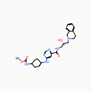 CC(C)(C)OC(=O)NC1CCC(Nc2cc(C(=O)NC[C@H](O)CN3CCc4ccccc4C3)ncn2)CC1